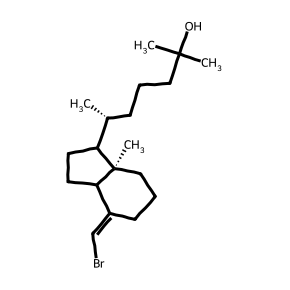 C[C@H](CCCC(C)(C)O)C1CCC2/C(=C/Br)CCC[C@@]21C